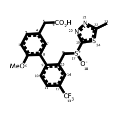 COc1ccc(CC(=O)O)cc1-c1ccc(C(F)(F)F)cc1C[S+]([O-])c1nnc(C)s1